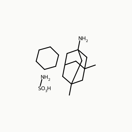 C1CCCCC1.CC12CC3CC(C)(C1)CC(N)(C3)C2.NS(=O)(=O)O